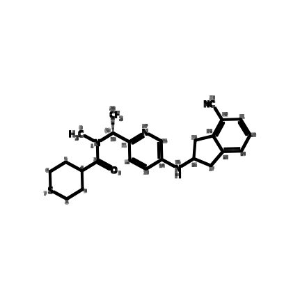 CN(C(=O)C1CCSCC1)[C@@H](c1ccc(NC2Cc3cccc(C#N)c3C2)cn1)C(F)(F)F